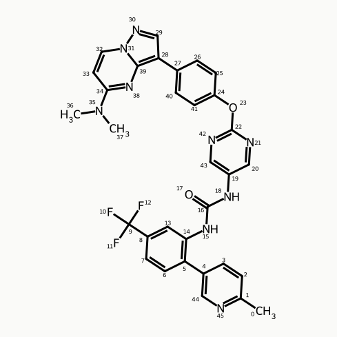 Cc1ccc(-c2ccc(C(F)(F)F)cc2NC(=O)Nc2cnc(Oc3ccc(-c4cnn5ccc(N(C)C)nc45)cc3)nc2)cn1